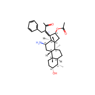 CC(=O)O[C@H]1C[C@@]2(C)[C@H](/C1=C(\Cc1ccccc1)C(C)=O)[C@H](N)C[C@H]1[C@@]3(C)CC[C@@H](O)[C@@H](C)[C@@H]3CC[C@@]12C